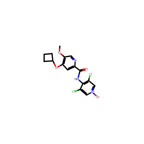 COc1cnc(C(=O)Nc2c(Cl)c[n+]([O-])cc2Cl)cc1OC1CCC1